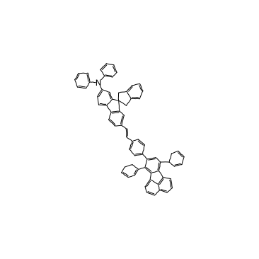 C1=CCCC(c2c(-c3ccc(/C=C/c4ccc5c(c4)C4(Cc6ccccc6C4)c4cc(N(c6ccccc6)c6ccccc6)ccc4-5)cc3)cc(C3C=CC=CC3)c3c2-c2cccc4cccc-3c24)=C1